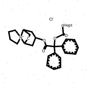 CCCCCCCC(=O)OC(C(=O)OC1CC2CCC(C1)[N+]21CCCC1)(c1ccccc1)c1ccccc1.[Cl-]